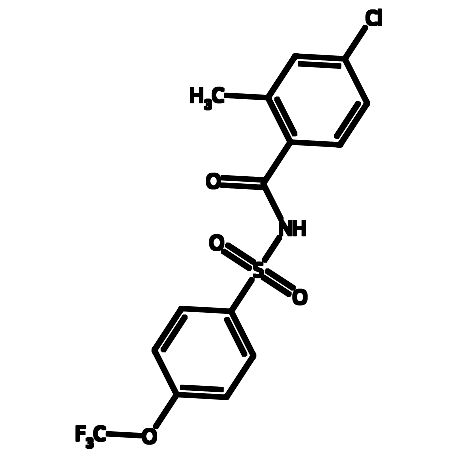 Cc1cc(Cl)ccc1C(=O)NS(=O)(=O)c1ccc(OC(F)(F)F)cc1